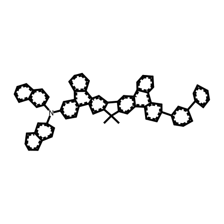 CC1(C)c2cc3c4ccc(-c5cccc(-c6ccccc6)c5)cc4c4ccccc4c3cc2-c2cc3c4ccccc4c4cc(N(c5ccc6ccccc6c5)c5ccc6ccccc6c5)ccc4c3cc21